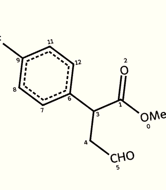 COC(=O)C(CC=O)c1ccc(F)cc1